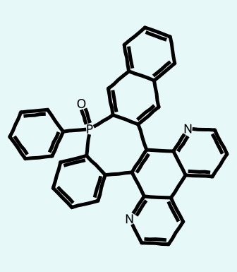 O=P1(c2ccccc2)c2ccccc2-c2c(c3ncccc3c3cccnc23)-c2cc3ccccc3cc21